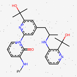 CC(C)Nc1cccn(-c2cc(CC(C)Nc3cccnc3C(C)(C)O)cc(C(C)(C)O)n2)c1=O